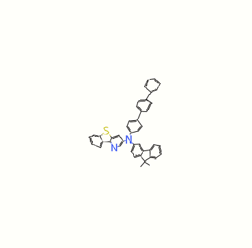 CC1(C)c2ccccc2-c2cc(N(c3ccc(-c4ccc(-c5ccccc5)cc4)cc3)c3cnc4c(c3)sc3ccccc34)ccc21